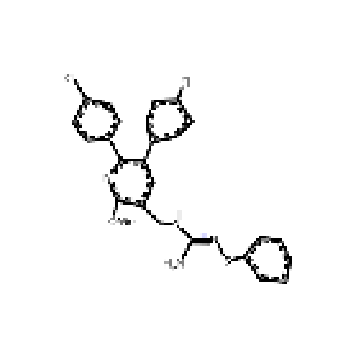 COc1nc(-c2ccc(Cl)cc2)c(-c2ccc(Cl)cc2)cc1CN/C(N)=N/Sc1ccccc1